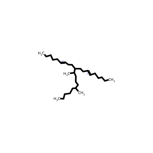 CCCCC/C=C/CCC(CC/C=C/CCCCC)C(C)CCCC(C)CCCCC